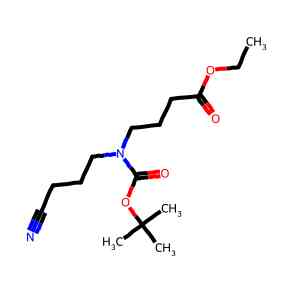 CCOC(=O)CCCN(CCCC#N)C(=O)OC(C)(C)C